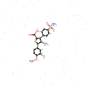 COc1ccc(-c2sc(C(=O)O)c(-c3ccc(S(N)(=O)=O)cc3)c2C)cc1Cl